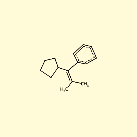 CC(C)=C(c1ccccc1)C1CCCC1